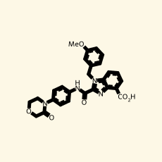 COc1cccc(Cn2c(C(=O)Nc3ccc(N4CCOCC4=O)cc3)nc3c(C(=O)O)cccc32)c1